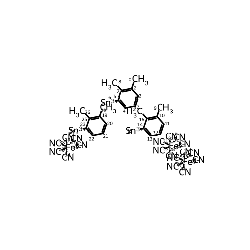 Cc1ccc[c]([Sn+3])c1C.Cc1ccc[c]([Sn+3])c1C.Cc1ccc[c]([Sn+3])c1C.N#[C][Fe-3]([C]#N)([C]#N)([C]#N)([C]#N)[C]#N.N#[C][Fe-3]([C]#N)([C]#N)([C]#N)([C]#N)[C]#N.N#[C][Fe-3]([C]#N)([C]#N)([C]#N)([C]#N)[C]#N